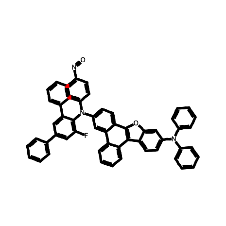 O=Nc1ccc(N(c2ccc3c(c2)c2ccccc2c2c4ccc(N(c5ccccc5)c5ccccc5)cc4oc32)c2c(F)cc(-c3ccccc3)cc2-c2ccccc2)cc1